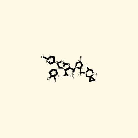 CC(C)C1=C(C(=O)N2C[C@H](F)C[C@H]2C(=O)N2CC3(CC3)NCC2C)SC2=N[C@@H](c3ccc(Cl)nc3)[C@@H](c3ccc(Cl)c(F)c3)N21